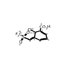 O=C(O)C1=CC=CC(=CS(=O)(=O)C(F)(F)F)C1Cl